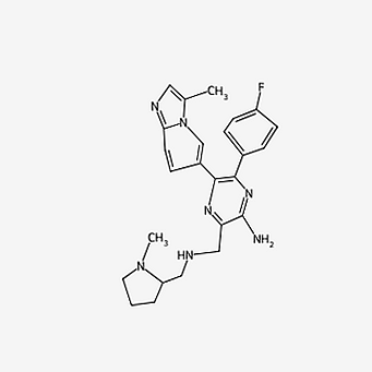 Cc1cnc2ccc(-c3nc(CNCC4CCCN4C)c(N)nc3-c3ccc(F)cc3)cn12